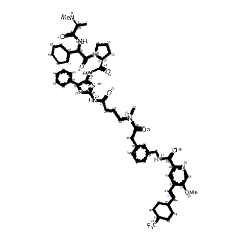 CN[C@@H](C)C(=O)NC(C(=O)N1CCC[C@H]1C(=O)Nc1sc(NC(=O)CCCN(C)C(=O)Cc2cccc(CNC(=O)c3cc(/C=C/C4CCC(C(F)(F)F)CC4)c(OC)cn3)c2)nc1-c1ccccc1)C1CCCCC1